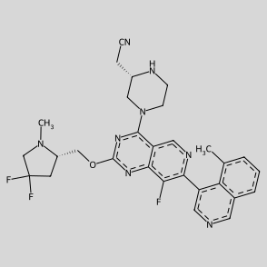 Cc1cccc2cncc(-c3ncc4c(N5CCN[C@@H](CC#N)C5)nc(OC[C@@H]5CC(F)(F)CN5C)nc4c3F)c12